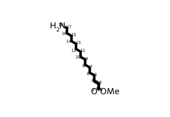 COC(=O)C=CCCCCCCCCCCCCCN